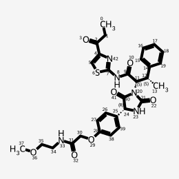 CCC(=O)c1csc(NC(=O)[C@H]([C@@H](C)c2ccccc2)N2C(=O)N[C@H](c3ccc(OCC(=O)NCCOC)cc3)C2=O)n1